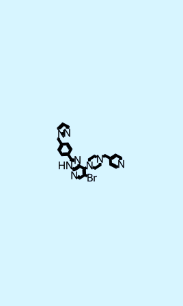 Brc1cnc2[nH]c(-c3ccc(Cn4cccn4)cc3)nc2c1N1CCN(Cc2ccncc2)CC1